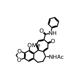 COc1c2c(cc3c1-c1ccc(C(=O)Nc4ccccc4)c(=O)cc1[C@@H](NC(C)=O)CC3)OCO2